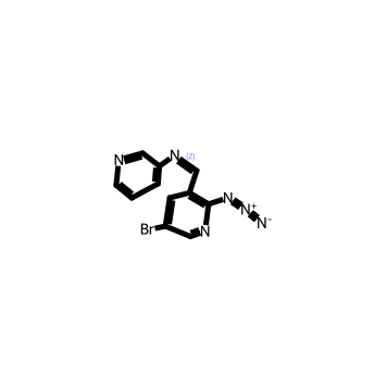 [N-]=[N+]=Nc1ncc(Br)cc1/C=N\c1cccnc1